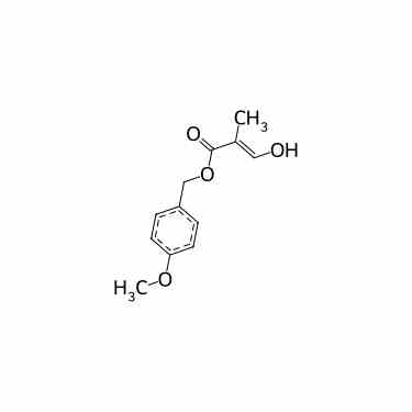 COc1ccc(COC(=O)C(C)=CO)cc1